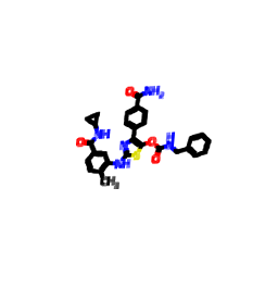 Cc1ccc(C(=O)NC2CC2)cc1Nc1nc(-c2ccc(C(N)=O)cc2)c(OC(=O)NCc2ccccc2)s1